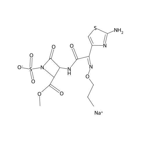 CCCON=C(C(=O)NC1C(=O)N(S(=O)(=O)[O-])C1C(=O)OC)c1csc(N)n1.[Na+]